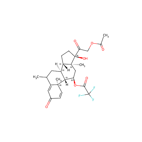 CC(=O)OCC(=O)[C@@]1(O)CC[C@H]2[C@@H]3CC(C)C4=CC(=O)C=C[C@]4(C)[C@H]3[C@H](OC(=O)C(F)(F)F)C[C@@]21C